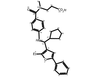 CCc1oc(-c2ccccc2)cc1C(Nc1ccc(C(=O)N(C)CCC(=O)O)cc1)C1CCCC1